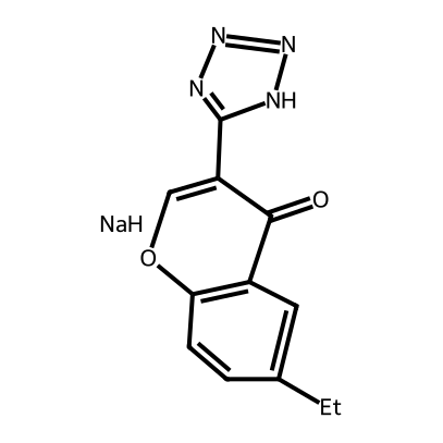 CCc1ccc2occ(-c3nnn[nH]3)c(=O)c2c1.[NaH]